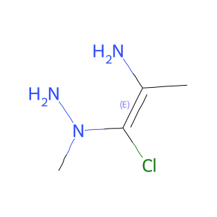 C/C(N)=C(\Cl)N(C)N